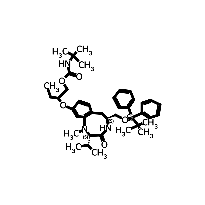 CCC(COC(=O)NC(C)(C)C)Oc1ccc2c(c1)N(C)[C@@H](C(C)C)C(=O)N[C@H](CO[Si](c1ccccc1)(c1ccccc1)C(C)(C)C)C2